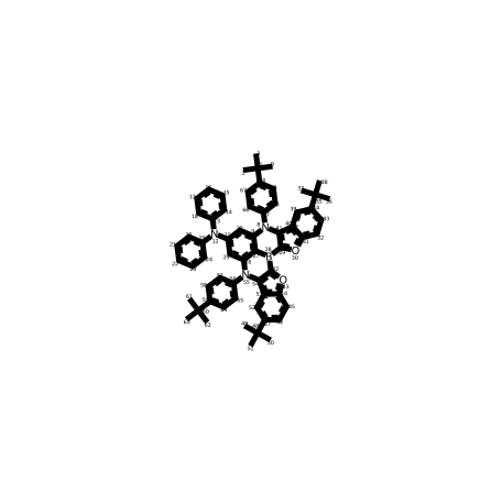 CC(C)(C)c1ccc(N2c3cc(N(c4ccccc4)c4ccccc4)cc4c3B(c3oc5ccc(C(C)(C)C)cc5c32)c2oc3ccc(C(C)(C)C)cc3c2N4c2ccc(C(C)(C)C)cc2)cc1